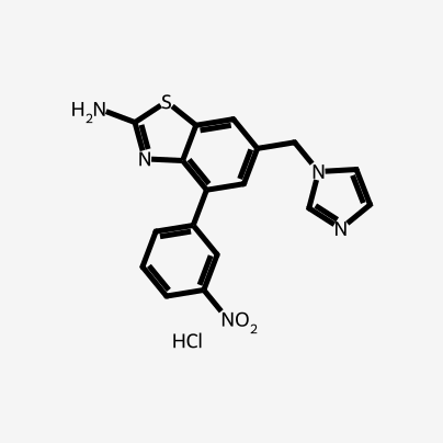 Cl.Nc1nc2c(-c3cccc([N+](=O)[O-])c3)cc(Cn3ccnc3)cc2s1